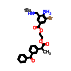 CC(C(=O)OCCOC(=O)c1cc(Br)c(N)c(CNC(C)(C)C)c1)c1cccc(C(=O)c2ccccc2)c1